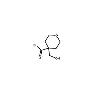 CCC(=O)C1(CO)CCOCC1